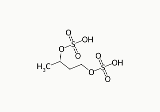 CC(CCOS(=O)(=O)O)OS(=O)(=O)O